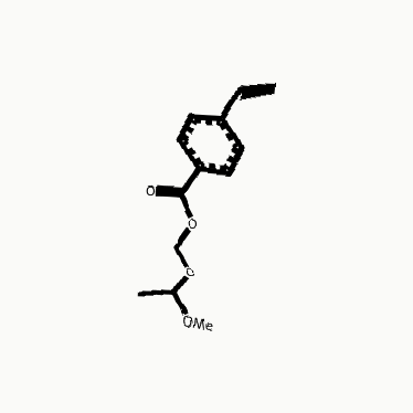 C=Cc1ccc(C(=O)OCOC(C)OC)cc1